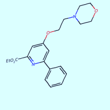 CCOC(=O)c1cc(OCCN2CCOCC2)cc(-c2ccccc2)n1